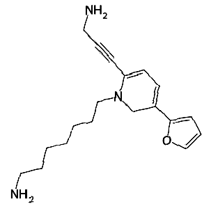 NCC#CC1=CC=C(c2ccco2)CN1CCCCCCCN